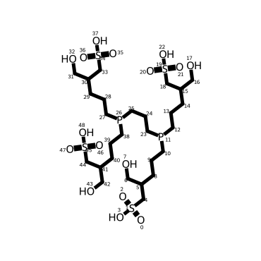 O=S(=O)(O)CC(CO)CCCP(CCCC(CO)CS(=O)(=O)O)CCCP(CCCC(CO)CS(=O)(=O)O)CCCC(CO)CS(=O)(=O)O